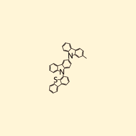 Cc1ccc2c3ccccc3n(-c3ccc4c(c3)c3ccccc3n4-c3cccc4c3sc3ccccc34)c2c1